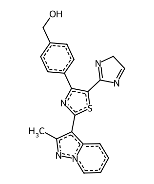 Cc1nn2ccccc2c1-c1nc(-c2ccc(CO)cc2)c(C2=NCC=N2)s1